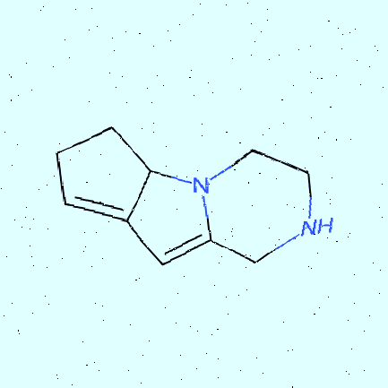 C1=C2C=C3CNCCN3C2CC1